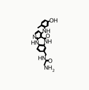 Cc1ccc(O)cc1Nc1ccnc2c1C(=O)Nc1cc(CNC(=O)CN)ccc1N2